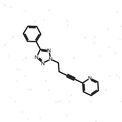 C(#Cc1ccccn1)CCn1nnc(-c2ccccc2)n1